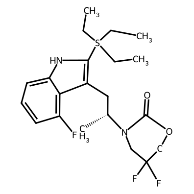 CCS(CC)(CC)c1[nH]c2cccc(F)c2c1C[C@@H](C)N1CC(F)(F)COC1=O